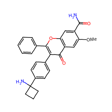 COc1cc2c(=O)c(-c3ccc(C4(N)CCC4)cc3)c(-c3ccccc3)oc2cc1C(N)=O